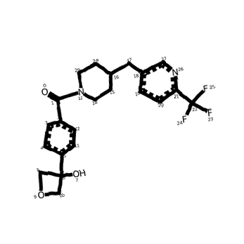 O=C(c1ccc(C2(O)COC2)cc1)N1CCC(Cc2ccc(C(F)(F)F)nc2)CC1